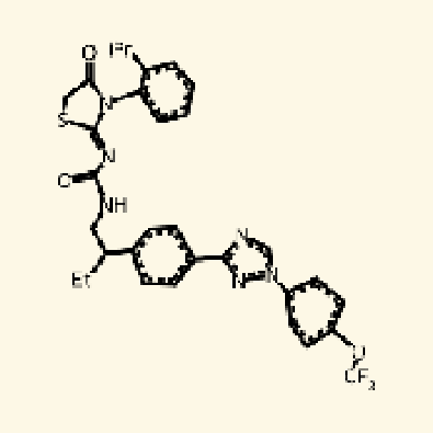 CCC(CNC(=O)N=C1SCC(=O)N1c1ccccc1C(C)C)c1ccc(-c2ncn(-c3ccc(OC(F)(F)F)cc3)n2)cc1